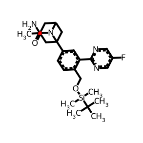 CC1CC2CC(c3ccc(CO[Si](C)(C)C(C)(C)C)c(-c4ncc(F)cn4)c3)(C1)N2C(N)=O